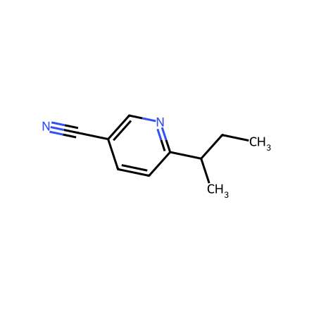 CCC(C)c1ccc(C#N)cn1